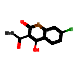 COC(=O)c1c(O)c2ccc(Cl)cc2sc1=O